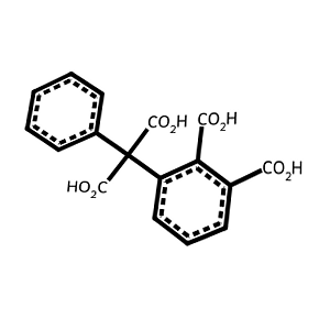 O=C(O)c1cccc(C(C(=O)O)(C(=O)O)c2ccccc2)c1C(=O)O